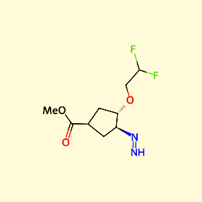 COC(=O)C1C[C@H](N=N)[C@@H](OCC(F)F)C1